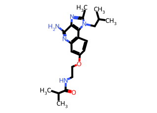 Cc1nc2c(N)nc3cc(OCCNC(=O)C(C)C)ccc3c2n1CC(C)C